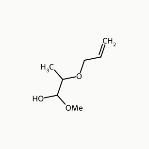 C=CCOC(C)C(O)OC